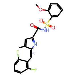 COc1ccccc1S(=O)(=O)NC(=O)C1=N/C(=C/c2c(F)cccc2F)C(C)=C1